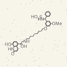 COc1cc(OCCCCCCCCCNC[C@@H](O)c2ccc(O)c3[nH]c(=O)ccc23)cc(C(NC(=O)O)c2ccccc2)c1